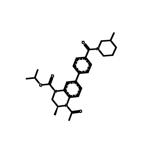 CC(=O)N1c2ccc(-c3ccc(C(=O)N4CCCC(C)C4)cc3)cc2N(C(=O)OC(C)C)C[C@@H]1C